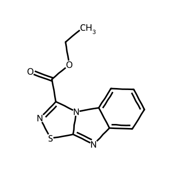 CCOC(=O)c1nsc2nc3ccccc3n12